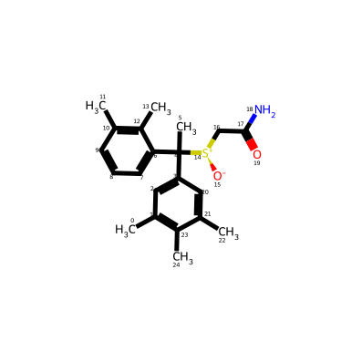 Cc1cc(C(C)(c2cccc(C)c2C)[S@+]([O-])CC(N)=O)cc(C)c1C